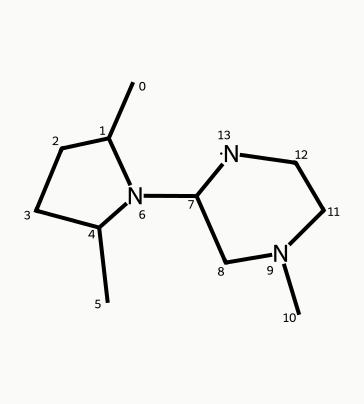 CC1CCC(C)N1C1CN(C)CC[N]1